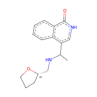 CC(NC[C@@H]1CCCO1)c1c[nH]c(=O)c2ccccc12